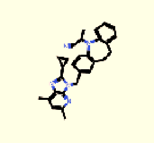 Cc1cc(C)c2nc(C3CC3)n(Cc3ccc4c(c3)CCc3ccccc3N4C(C)C#N)c2n1